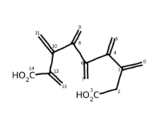 C=C(CC(=O)O)C(=C)C(=C)C(=C)C(=C)C(=C)C(=O)O